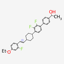 CCOc1ccc(/C=C/C2CCC(c3ccc(-c4ccc(C(C)O)cc4)c(F)c3F)CC2)c(F)c1